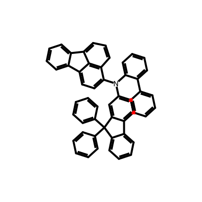 c1ccc(-c2ccccc2N(c2ccc3c(c2)C(c2ccccc2)(c2ccccc2)c2ccccc2-3)c2ccc3c4c(cccc24)-c2ccccc2-3)cc1